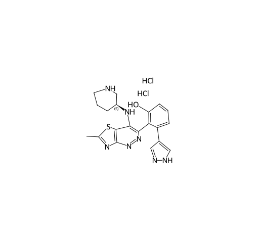 Cc1nc2nnc(-c3c(O)cccc3-c3cn[nH]c3)c(N[C@H]3CCCNC3)c2s1.Cl.Cl